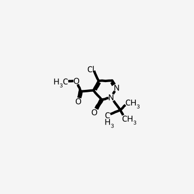 COC(=O)c1c(Cl)cnn(C(C)(C)C)c1=O